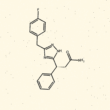 NC(=O)C[C@H](c1ccccc1)c1nc(Cc2ccc(F)cc2)n[nH]1